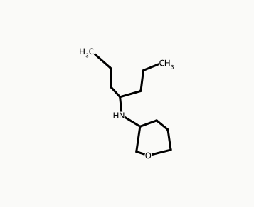 CCCC(CCC)NC1CCCOC1